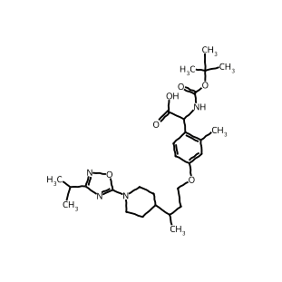 Cc1cc(OCCC(C)C2CCN(c3nc(C(C)C)no3)CC2)ccc1C(NC(=O)OC(C)(C)C)C(=O)O